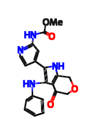 COC(=O)Nc1cc(-c2[nH]c3c(c2Nc2ccccc2)C(=O)COC3)ccn1